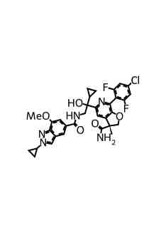 COc1cc(C(=O)NCC(O)(c2cc3c(c(-c4c(F)cc(Cl)cc4F)n2)OC[C@]3(C)C(N)=O)C2CC2)cc2cn(C3CC3)nc12